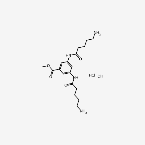 COC(=O)c1cc(NC(=O)CCCCN)cc(NC(=O)CCCCN)c1.Cl.Cl